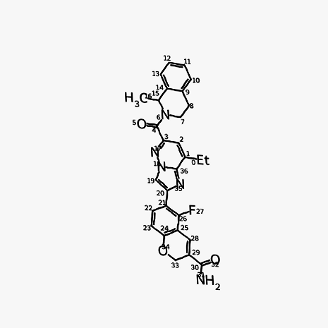 CCc1cc(C(=O)N2CCc3ccccc3C2C)nn2cc(-c3ccc4c(c3F)C=C(C(N)=O)CO4)nc12